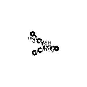 COC(=O)[C@@H](Cc1ccccc1)NC(=O)N[C@@H](CC(=O)N1CCC(N2Cc3ccccc3NC2=O)CC1)C(=O)N1CCC(N2CCCCC2)CC1